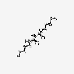 CCCCCNC(=S)NC(=O)OCCCCC